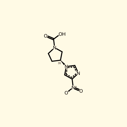 O=C(O)N1CC[C@H](n2cnc([N+](=O)[O-])c2)C1